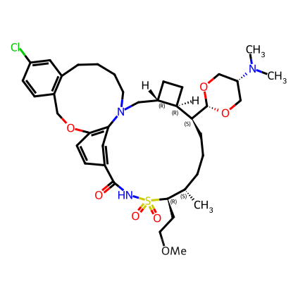 COCC[C@@H]1[C@@H](C)CCC[C@H]([C@H]2OC[C@@H](N(C)C)CO2)[C@@H]2CC[C@H]2CN2CCCCc3cc(Cl)ccc3COc3ccc(cc32)C(=O)NS1(=O)=O